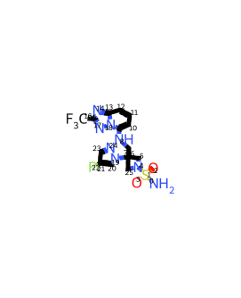 NS(=O)(=O)N1CC(CNc2cccc3nc(C(F)(F)F)nn23)(n2cc(F)cn2)C1